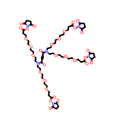 O=C(CCOCCOCCOCCN(CCOCCOCCOCCC(=O)ON1C(=O)CCC1=O)C(=O)C#CC(=O)N(CCOCCOCCOCCC(=O)ON1C(=O)CCC1=O)CCOCCOCCOCCC(=O)ON1C(=O)CCC1=O)ON1C(=O)CCC1=O